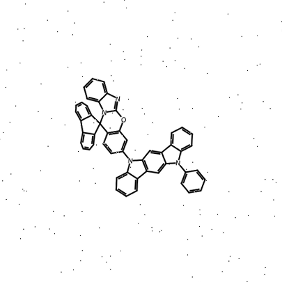 c1ccc(-n2c3ccccc3c3cc4c(cc32)c2ccccc2n4-c2ccc3c(c2)Oc2nc4ccccc4n2C32c3ccccc3-c3ccccc32)cc1